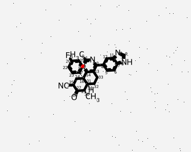 Cc1nc(-c2ccc3[nH]cnc3c2)c2c(n1)[C@]1(c3ccc(F)cc3)CC(C#N)C(=O)[C@@H](C)[C@@H]1CC2